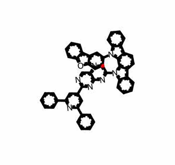 c1ccc(-c2cc(-c3ncc4ncc(-n5c6ccccc6c6ccc7c8ccccc8n(-c8ccc9oc%10ccccc%10c9c8)c7c65)nc4n3)cc(-c3ccccc3)n2)cc1